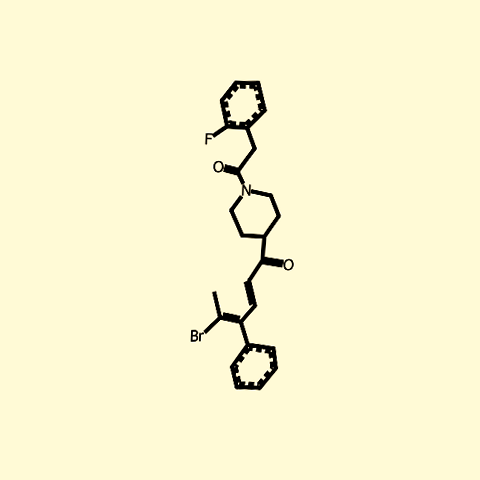 CC(Br)=C(C=CC(=O)C1CCN(C(=O)Cc2ccccc2F)CC1)c1ccccc1